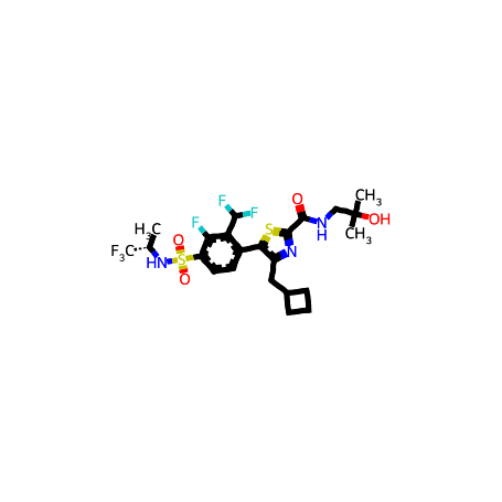 C[C@H](NS(=O)(=O)c1ccc(-c2sc(C(=O)NCC(C)(C)O)nc2CC2CCC2)c(C(F)F)c1F)C(F)(F)F